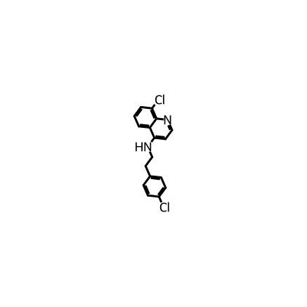 Clc1ccc(CCNc2ccnc3c(Cl)cccc23)cc1